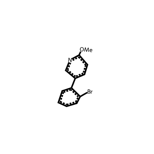 COc1ccc(-c2ccccc2Br)cn1